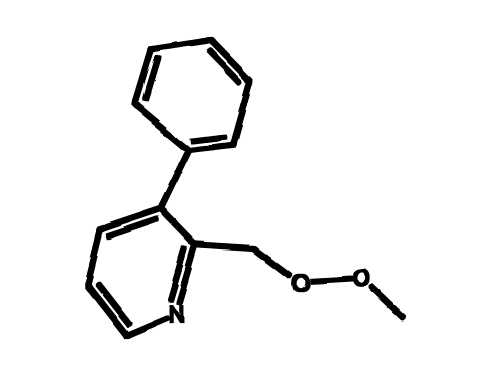 COOCc1ncccc1-c1ccccc1